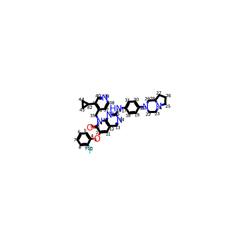 O=c1c(Oc2ccccc2F)cc2cnc(Nc3ccc(N4CCN5CCCC5C4)cc3)nc2n1Cc1ccncc1C1CC1